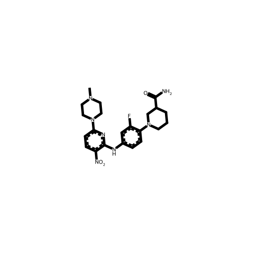 CN1CCN(c2ccc([N+](=O)[O-])c(Nc3ccc(N4CCCC(C(N)=O)C4)c(F)c3)n2)CC1